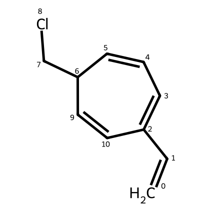 C=CC1=CC=CC(CCl)C=C1